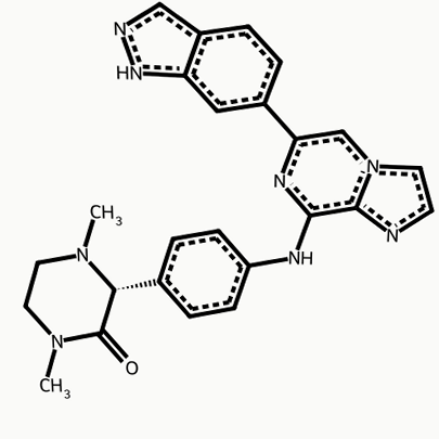 CN1CCN(C)[C@H](c2ccc(Nc3nc(-c4ccc5cn[nH]c5c4)cn4ccnc34)cc2)C1=O